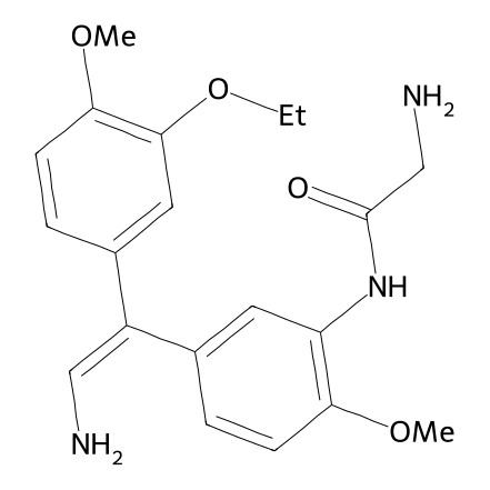 CCOc1cc(C(=CN)c2ccc(OC)c(NC(=O)CN)c2)ccc1OC